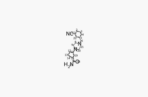 N#Cc1cccc(CN2CCN(c3cccc(C(N)=O)c3)CC2)c1